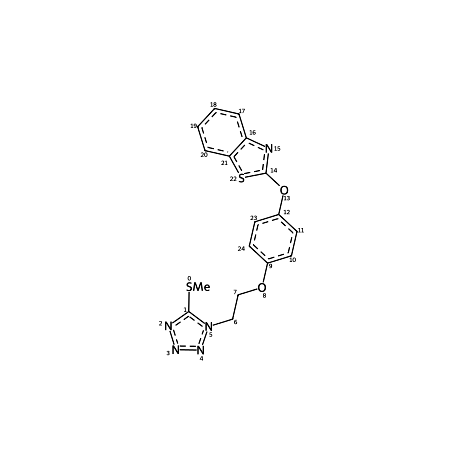 CSc1nnnn1CCOc1ccc(Oc2nc3ccccc3s2)cc1